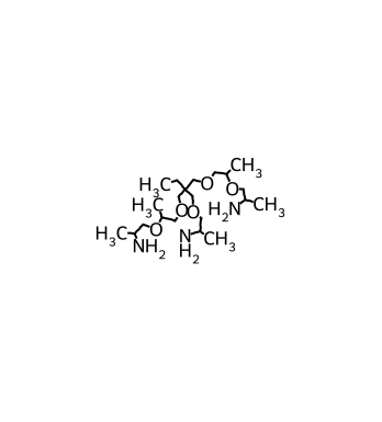 CCC(COCC(C)N)(COCC(C)OCC(C)N)COCC(C)OCC(C)N